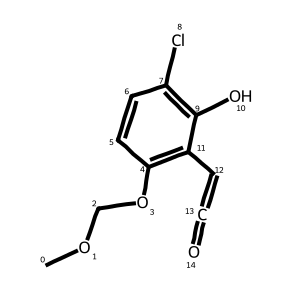 COCOc1ccc(Cl)c(O)c1C=C=O